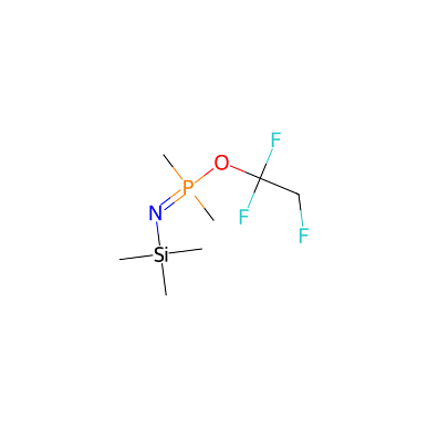 C[Si](C)(C)N=P(C)(C)OC(F)(F)CF